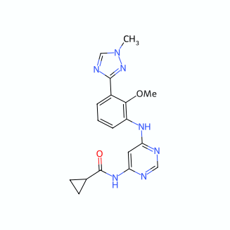 COc1c(Nc2cc(NC(=O)C3CC3)ncn2)cccc1-c1ncn(C)n1